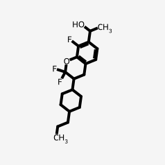 CCCC1CCC(C2Cc3ccc(C(C)O)c(F)c3OC2(F)F)CC1